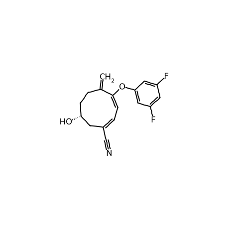 C=C1CC[C@@H](O)C/C(C#N)=C\C=C/1Oc1cc(F)cc(F)c1